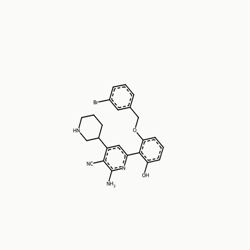 N#Cc1c(C2CCCNC2)cc(-c2c(O)cccc2OCc2cccc(Br)c2)nc1N